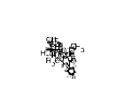 C=CCN(C(=O)C(F)(C(F)(F)F)C(C)(CCC)OC(F)(F)C(F)(C(F)(F)F)C(C)(F)CCC)c1ccccc1